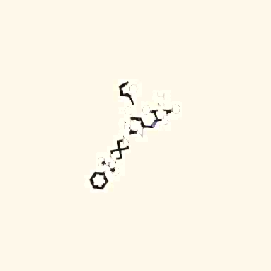 O=C1NC(=O)/C(=C\c2cc(OCc3ccco3)nc(N3CC4(C3)CN(S(=O)(=O)c3ccccc3)C4)n2)S1